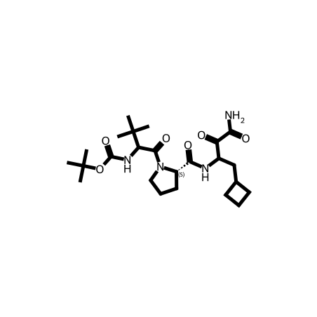 CC(C)(C)OC(=O)NC(C(=O)N1CCC[C@H]1C(=O)NC(CC1CCC1)C(=O)C(N)=O)C(C)(C)C